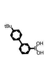 CC(C)(C)c1ccc(-c2cccc(B(O)O)c2)cc1